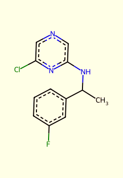 CC(Nc1cncc(Cl)n1)c1cccc(F)c1